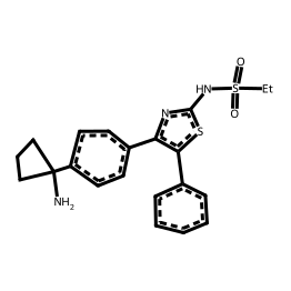 CCS(=O)(=O)Nc1nc(-c2ccc(C3(N)CCC3)cc2)c(-c2ccccc2)s1